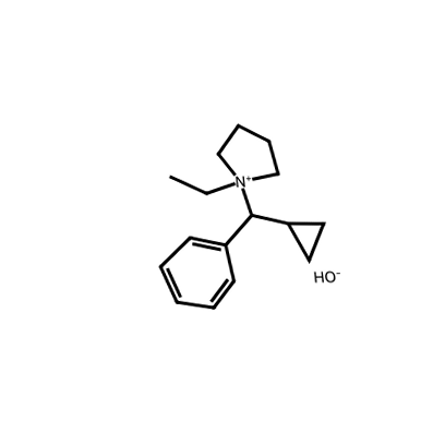 CC[N+]1(C(c2ccccc2)C2CC2)CCCC1.[OH-]